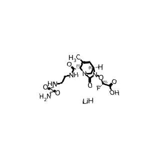 CC1=C[C@@H]2CN(C(=O)N2O[C@@H](F)C(=O)O)[C@@H]1C(=O)NCCNS(N)(=O)=O.[LiH]